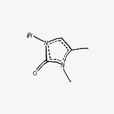 Cc1cn(C(C)C)c(=O)n1C